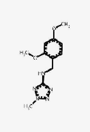 COc1ccc(CNc2nnn(C)n2)c(OC)c1